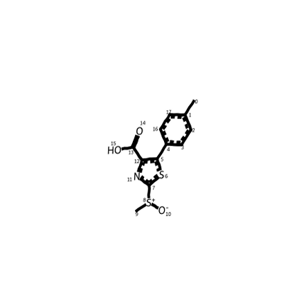 Cc1ccc(-c2sc([S+](C)[O-])nc2C(=O)O)cc1